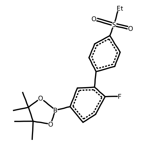 CCS(=O)(=O)c1ccc(-c2cc(B3OC(C)(C)C(C)(C)O3)ccc2F)cc1